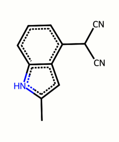 Cc1cc2c(C(C#N)C#N)cccc2[nH]1